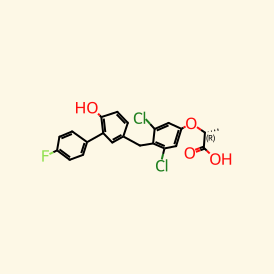 C[C@@H](Oc1cc(Cl)c(Cc2ccc(O)c(-c3ccc(F)cc3)c2)c(Cl)c1)C(=O)O